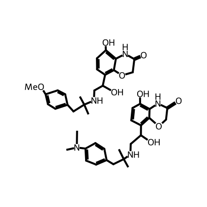 CN(C)c1ccc(CC(C)(C)NCC(O)c2ccc(O)c3c2OCC(=O)N3)cc1.COc1ccc(CC(C)(C)NCC(O)c2ccc(O)c3c2OCC(=O)N3)cc1